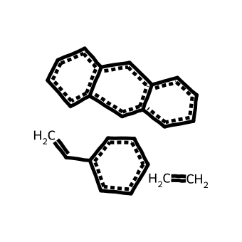 C=C.C=Cc1ccccc1.c1ccc2cc3ccccc3cc2c1